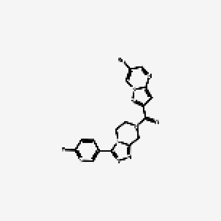 O=C(c1cc2ncc(Br)cn2n1)N1CCn2c(nnc2-c2ccc(F)nc2)C1